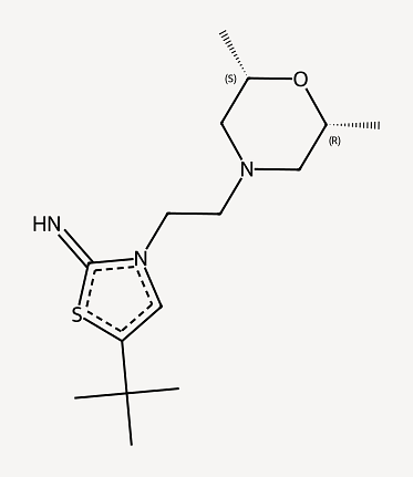 C[C@@H]1CN(CCn2cc(C(C)(C)C)sc2=N)C[C@H](C)O1